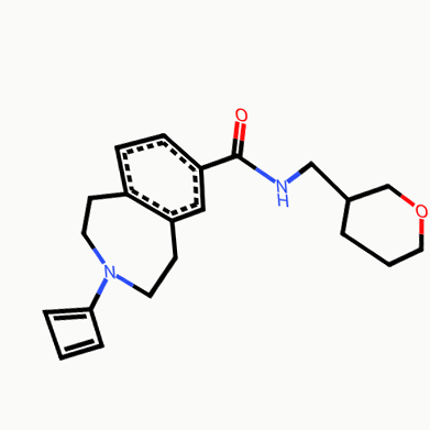 O=C(NCC1CCCOC1)c1ccc2c(c1)CCN(C1=CC=C1)CC2